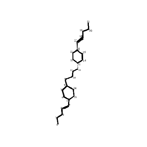 CCC/C=C/C1CCC(CCCC[C@H]2CC[C@H](/C=C/CCC)CC2)CC1